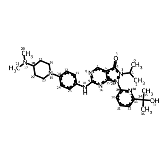 CC(C)n1c(=O)c2cnc(Nc3ccc(N4CCC(N(C)C)CC4)cc3)nc2n1-c1cccc(C(C)(C)O)n1